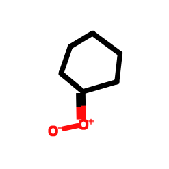 [O-][O+]=C1CCCCC1